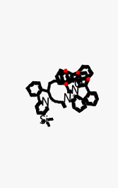 C=C1CC2C(CCc3ccc4c(oc5ccccc54)c3-c3n(-c4c(-c5ccccc5)cccc4-c4ccccc4)c4ccccc4[n+]31)c1ccccc1-c1ccc([Si](C)(C)C)c[n+]12